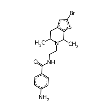 CC1Cc2cc(Br)sc2C(C)N1CCNC(=O)c1ccc(N)cc1